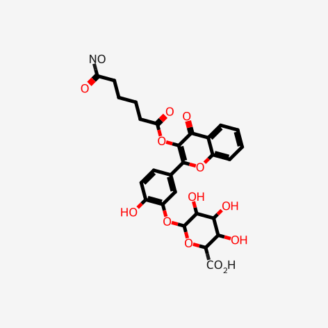 O=NC(=O)CCCCC(=O)Oc1c(-c2ccc(O)c(OC3OC(C(=O)O)C(O)C(O)C3O)c2)oc2ccccc2c1=O